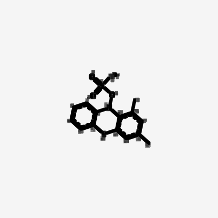 CCCS(=O)(=O)ON1c2ccccc2Sc2cc(C)cc(C)c21